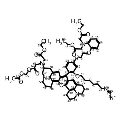 CCOC(=O)CN(CC(=O)OCC)c1ccccc1OCCOc1ccc(C2=c3cc4c5c(c3Oc3c2cc2c6c3CCCN6CCC2)CCC[N+]=5CC(N(CC(=O)OCC)CC(=O)OCOC(C)=O)C4)c(OCCCCCCN=[N+]=[N-])c1